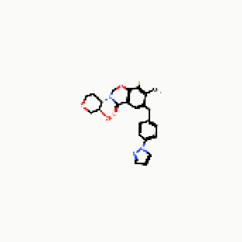 Cc1c(Cc2ccc(-n3cccn3)cc2)cc2c(c1F)OCN([C@H]1CCOC[C@@H]1O)C2=O